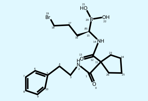 O=C(NCCc1ccccc1)C1(C(=O)N[C@@H](CCCBr)B(O)O)CCCC1